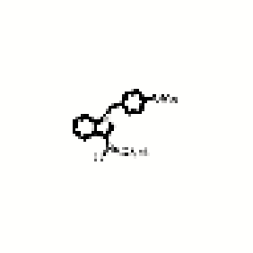 CCOC(=O)N(CC)c1cn(Cc2ccc(OC)cc2)c2ccccc12